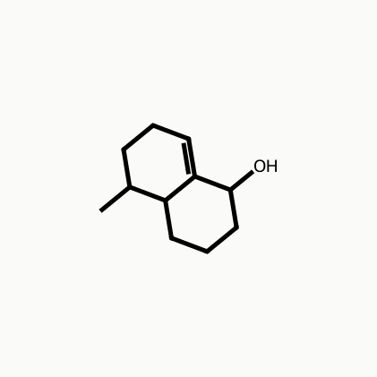 CC1CCC=C2C(O)CCCC21